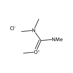 CNC(=[O+]C)N(C)C.[Cl-]